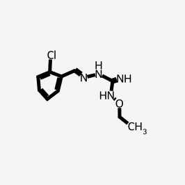 CCONC(=N)NN=Cc1ccccc1Cl